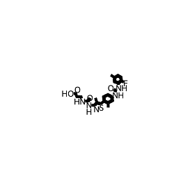 Cc1ccc(F)c(NC(=O)Nc2ccc(-c3snc(NC(=O)NCCC(=O)O)c3C)c(C)c2)c1